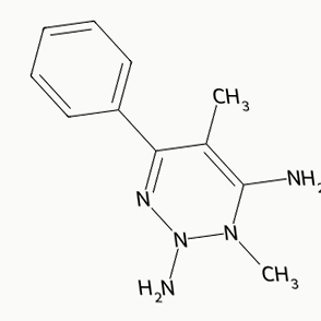 CC1=C(N)N(C)N(N)N=C1c1ccccc1